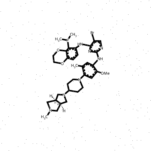 COc1cc(N2CCC(N3C[C@H]4CN(C)C[C@H]4C3)CC2)c(C)cc1Nc1ncc(Br)c(Nc2ccc3c(c2P(C)C)OCCO3)n1